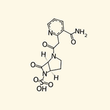 NC(=O)c1cccnc1CC(=O)N1CC[C@@H]2[C@H]1C(=O)N2S(=O)(=O)O